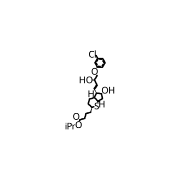 CC(C)OC(=O)CCC[C@H]1CC[C@@H]2[C@@H](C=C[C@@H](O)COc3cccc(Cl)c3)[C@H](O)C[C@@H]2S1